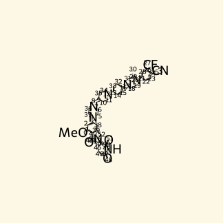 COc1cc(N2CCN(CC3CCN(c4ccc(N5CCN(c6ccc(C#N)c(C(F)(F)F)c6)[C@@H](C)C5)cc4)CC3)CC2)cc2c1C(=O)N(C1CCC(=O)NC1=O)C2